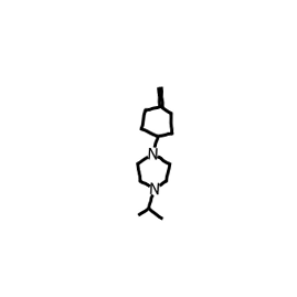 C=C1CCC(N2CCN(C(C)C)CC2)CC1